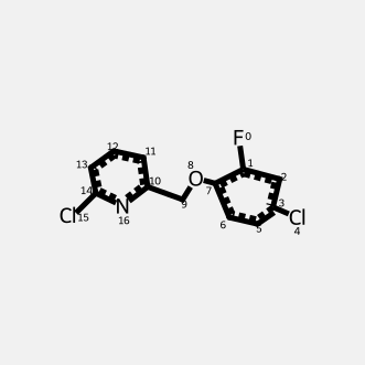 Fc1cc(Cl)ccc1OCc1cccc(Cl)n1